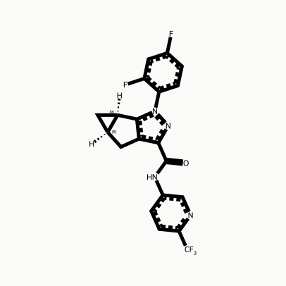 O=C(Nc1ccc(C(F)(F)F)nc1)c1nn(-c2ccc(F)cc2F)c2c1C[C@H]1C[C@@H]21